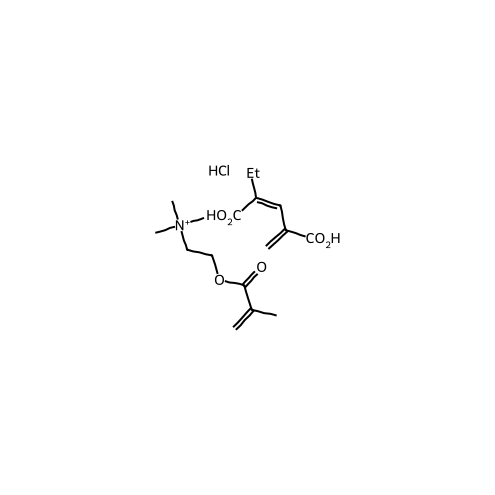 C=C(C)C(=O)OCC[N+](C)(C)C.C=C(C=C(CC)C(=O)O)C(=O)O.Cl